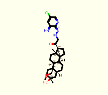 COC[C@]12CC[C@@](C)(O)C[C@@H]1CC[C@H]1[C@@H]3CC[C@H](C(=O)CN/N=C4/N=CC(Cl)=CC4=N)[C@@]3(C)CC[C@@H]12